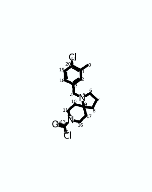 Cc1cc(CN2CCCC23CCN(C(=O)Cl)CC3)ccc1Cl